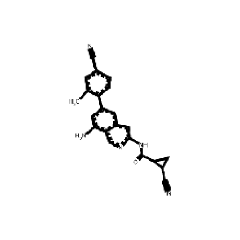 Cc1cc(C#N)ccc1-c1cc(N)c2cnc(NC(=O)C3CC3C#N)cc2c1